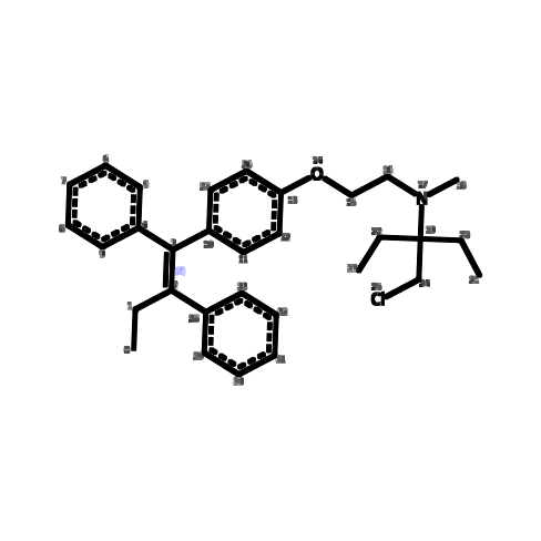 CC/C(=C(\c1ccccc1)c1ccc(OCCN(C)C(CC)(CC)CCl)cc1)c1ccccc1